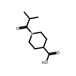 CC(C)C(=O)N1CCC(C(=O)O)CC1